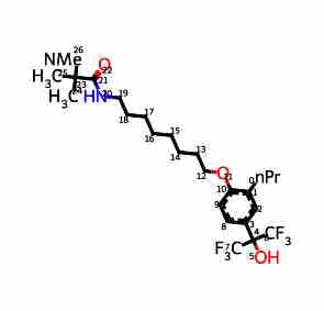 CCCc1cc(C(O)(C(F)(F)F)C(F)(F)F)ccc1OCCCCCCCCNC(=O)C(C)(C)NC